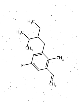 C=Cc1cc(F)cc(CC(CC)N(C)C)c1C